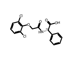 O=C(COc1c(Cl)cccc1Cl)N[C@H](C(=O)O)c1ccccc1